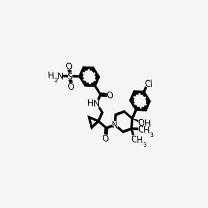 CC1(C)CN(C(=O)C2(CNC(=O)c3cccc(S(N)(=O)=O)c3)CC2)CC[C@]1(O)c1ccc(Cl)cc1